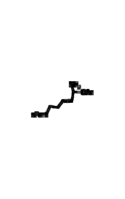 CCCCCCCC=CC(N)OC(C)=O